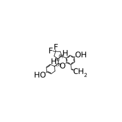 C=Cc1cc(O)cc2c1O[C@@H](C1C=CC(O)=CC1)[C@H]1CC(F)(F)C[C@@H]21